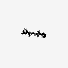 Cc1cncc(-c2nc(CSc3nnc(-c4cccs4)n3C)no2)c1